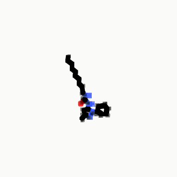 CCCCCCCCCCNC(=O)NC1CC(C)=NN1c1ccccc1